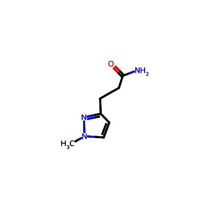 Cn1ccc(CCC(N)=O)n1